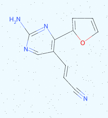 N#CC=Cc1cnc(N)nc1-c1ccco1